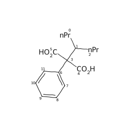 CCCC(CCC)C(C(=O)O)(C(=O)O)c1ccccc1